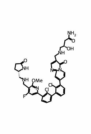 COc1nc(-c2cccc(-c3cccc(-c4ccn5c(=O)c(CNC[C@H](O)CC(N)=O)cnc5c4)c3Cl)c2Cl)cc(F)c1CNC[C@@H]1CCC(=O)N1